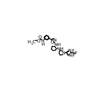 CCOC(=O)Nc1cccc(-c2cnc(N[C@@H]3CCCC[C@H]3N[C@H]3CCCN(c4cnc(C(F)(F)F)nc4)C3)o2)c1